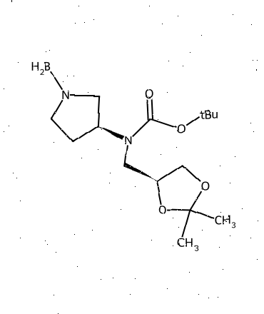 BN1CC[C@H](N(C[C@H]2COC(C)(C)O2)C(=O)OC(C)(C)C)C1